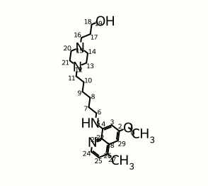 COc1cc(NCCCCCCN2CCN(CCCO)CC2)c2nccc(C)c2c1